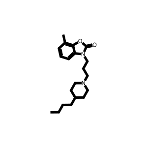 CCCCC1CCN(CCCn2c(=O)oc3c(C)cccc32)CC1